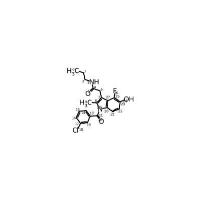 CCCNC(=O)Cc1c(C)n(C(=O)c2cccc(Cl)c2)c2ccc(O)c(F)c12